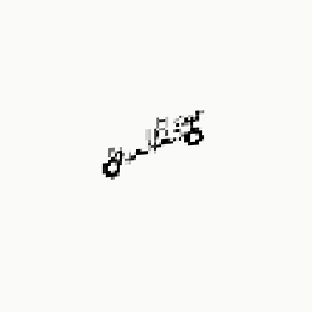 O=[N+]([O-])c1ccccc1OCC(O)CNCCCn1cnc2ccccc21